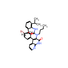 CCCCN(C(=O)Nc1c(C(C)C)cccc1C(C)C)c1c(-c2ccc(Br)cc2)c2cccnc2[nH]c1=O